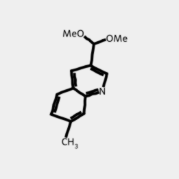 COC(OC)c1cnc2cc(C)ccc2c1